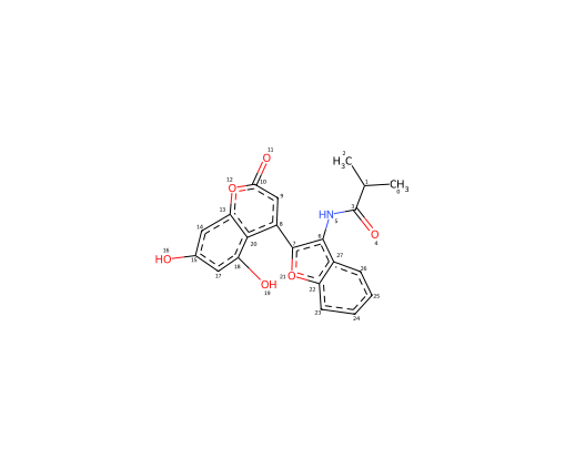 CC(C)C(=O)Nc1c(-c2cc(=O)oc3cc(O)cc(O)c23)oc2ccccc12